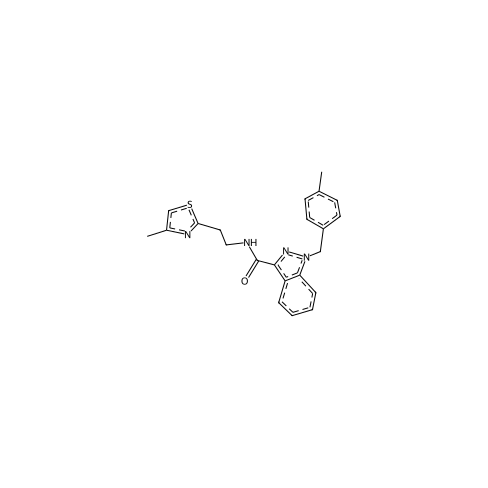 Cc1ccc(Cn2nc(C(=O)NCCc3nc(C)cs3)c3ccccc32)cc1